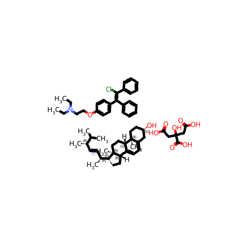 CC(C)[C@@H](C)/C=C/[C@@H](C)[C@H]1CC[C@H]2C3=CC=C4C[C@@H](O)CC[C@]4(C)[C@H]3CC[C@]12C.CCN(CC)CCOc1ccc(C(=C(Cl)c2ccccc2)c2ccccc2)cc1.O=C(O)CC(O)(CC(=O)O)C(=O)O